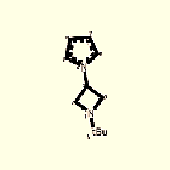 CC(C)(C)N1CC(n2cccc2)C1